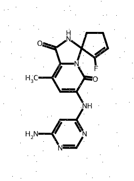 Cc1cc(Nc2cc(N)ncn2)c(=O)n2c1C(=O)NC21CCC=C1F